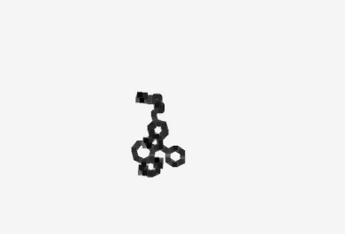 COOCc1ccc2c(C3CCCCC3)c3n(c2c1)CCCc1nccnc1-3